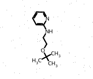 CC(C)(C)OCCNc1cc[c]cn1